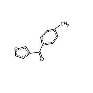 Cc1ccc(C(=O)c2ccsc2)cc1